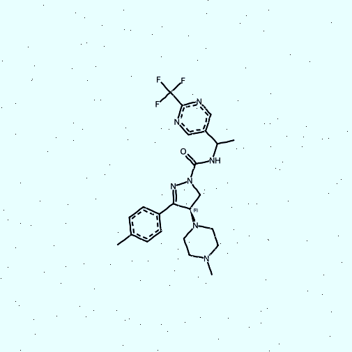 Cc1ccc(C2=NN(C(=O)NC(C)c3cnc(C(F)(F)F)nc3)C[C@H]2N2CCN(C)CC2)cc1